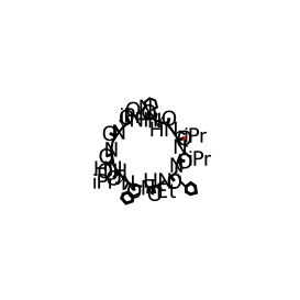 CC[C@@H]1NC(=O)[C@@H](CCc2ccccc2)N(C)C(=O)[C@H](CC(C)C)N(C)C(=O)[C@H](CC(C)C)NC(=O)[C@H](C)N(C)C(=O)[C@@H](C(=O)N2CCCCC2)NC(=O)[C@H](CC(C)C)N(C)C(=O)CN(C)C(=O)[C@H]([C@@H](C)O)NC(=O)[C@H](CC(C)C)N(C)C(=O)[C@H](Cc2ccccc2)N(C)C1=O